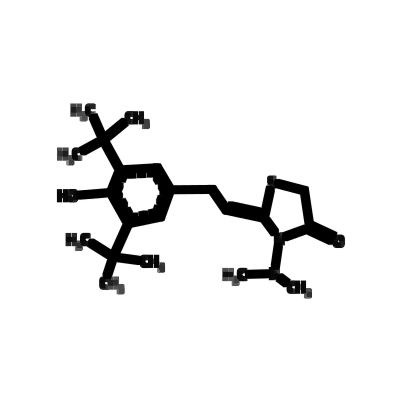 CN(C)N1C(=O)CSC1=CCc1cc(C(C)(C)C)c(O)c(C(C)(C)C)c1